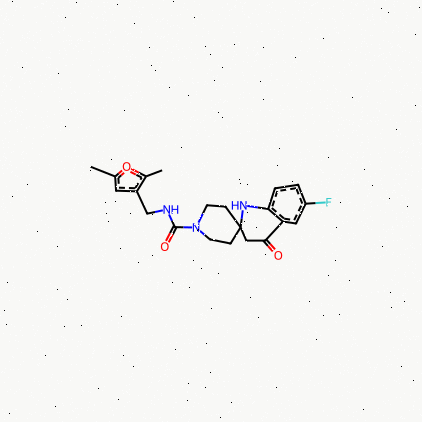 Cc1cc(CNC(=O)N2CCC3(CC2)CC(=O)c2cc(F)ccc2N3)c(C)o1